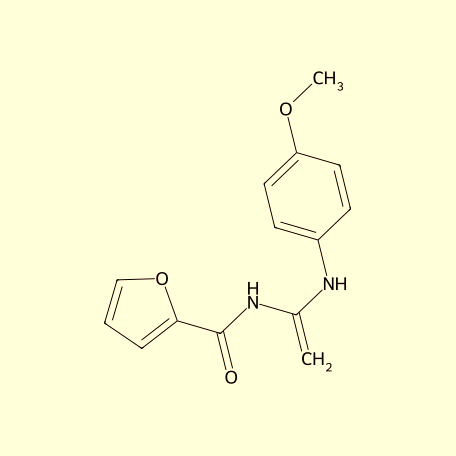 C=C(NC(=O)c1ccco1)Nc1ccc(OC)cc1